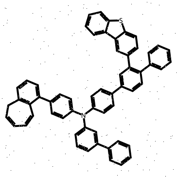 C1=CCc2cccc(-c3ccc(N(c4ccc(-c5ccc(-c6ccccc6)c(-c6ccc7sc8ccccc8c7c6)c5)cc4)c4cccc(-c5ccccc5)c4)cc3)c2C=C1